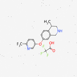 CC1CNCc2cc(Oc3ccc(C(F)(F)F)nc3)ccc21.O=C(O)C(F)(F)F